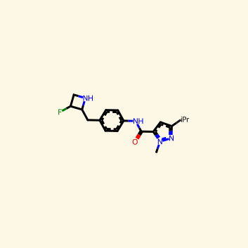 CC(C)c1cc(C(=O)Nc2ccc(CC3NCC3F)cc2)n(C)n1